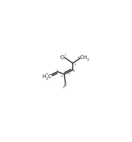 C=C/C(F)=C\C(C)Cl